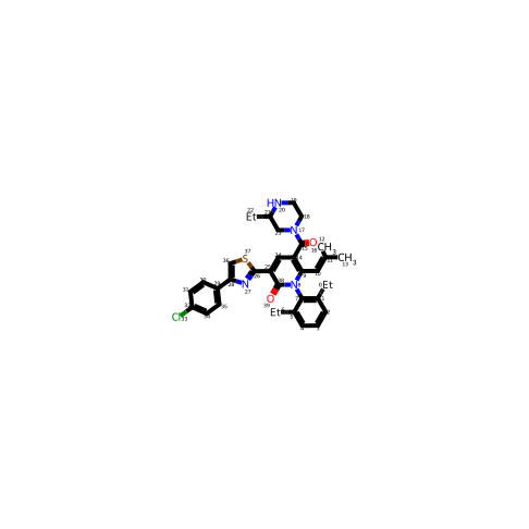 CCc1cccc(CC)c1-n1c(C=C(C)C)c(C(=O)N2CCNC(CC)C2)cc(-c2nc(-c3ccc(Cl)cc3)cs2)c1=O